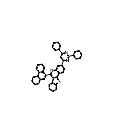 c1ccc(-c2cc(-c3ccc4c(c3)nc(-c3cc5ccccc5c5ccccc35)c3c5ccccc5sc43)nc(-c3ccccc3)n2)cc1